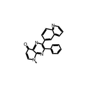 Cn1ccc(=O)c2nc(-c3ccc4ncccc4c3)c(-c3ccccc3)nc21